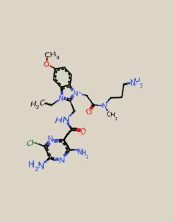 CCn1c(CNC(=O)c2nc(Cl)c(N)nc2N)[n+](CC(=O)N(C)CCCN)c2ccc(OC)cc21